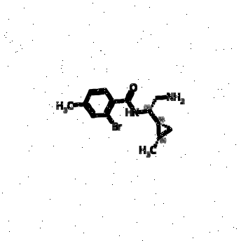 Cc1ccc(C(=O)N[C@H](CN)[C@@H]2C[C@@H]2C)c(Br)c1